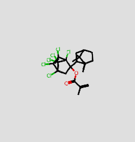 C=C(C)C(=O)OC1(C2CC3CCC2(C)C3(C)C)CC2(Cl)C(Cl)=C(Cl)C1(Cl)C2(Cl)Cl